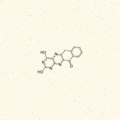 O=C1c2ccccc2Cc2nc3c(O)nc(O)nc3nc21